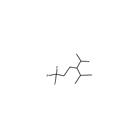 CC(C)C(CCC(F)(F)F)C(C)C